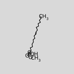 CCCCCCCCC=CCCCCCCCCOP(=O)(O)OC